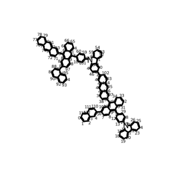 c1ccc2cc(-c3ccc4c(-c5ccc(-n6c7ccccc7c7ccccc76)cc5)c5ccccc5c(-c5ccc6cc7cc(-c8ccc9c(c8)c8ccccc8n9-c8ccc(-c9c%10ccccc%10c(-c%10ccc%11cc%12ccccc%12cc%11c%10)c%10cc(-c%11cccc%12ccccc%11%12)ccc9%10)cc8)ccc7cc6c5)c4c3)ccc2c1